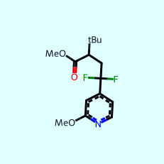 COC(=O)C(CC(F)(F)c1ccnc(OC)c1)C(C)(C)C